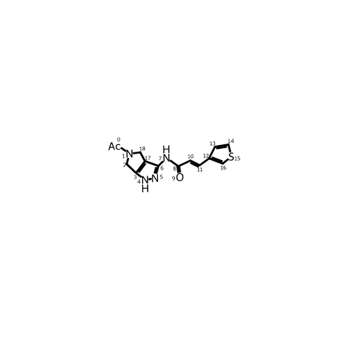 CC(=O)N1Cc2[nH]nc(NC(=O)C=Cc3ccsc3)c2C1